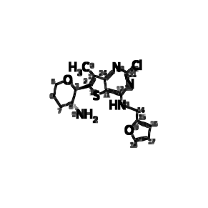 Cc1c([C@@H]2OCCC[C@H]2N)sc2c(NCc3ccco3)nc(Cl)nc12